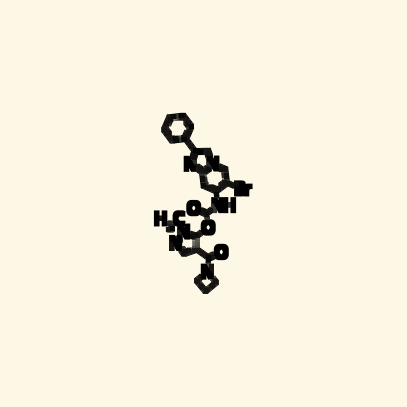 Cn1ncc(C(=O)N2CCC2)c1OC(=O)Nc1cc2nc(-c3ccccc3)cn2cc1Br